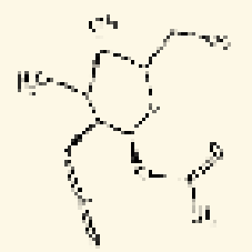 CCC1O[C@@H](OC(C)=O)[C@@H](N=[N+]=[N-])C(C)[C@@H]1C